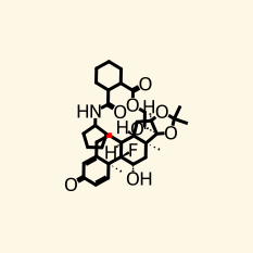 CC1(C)O[C@@H]2C[C@H]3[C@@H]4CCC5=CC(=O)C=C[C@]5(C)[C@@]4(F)[C@@H](O)C[C@]3(C)[C@]2(C(=O)COC(=O)C2CCCCC2C(=O)NC2CCCC2)O1